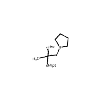 CCCCCCCC(C)(CCCCCC)CN1CCCC1